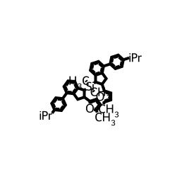 Cc1ccc(C2Cc3c(-c4ccc(C(C)C)cc4)cccc3C2[Si](C)(C)C2c3cccc(-c4ccc(C(C)C)cc4)c3CC2c2ccc(C)o2)o1